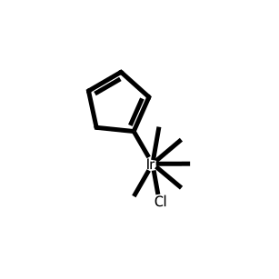 [CH3][Ir]([CH3])([CH3])([CH3])([CH3])([Cl])[C]1=CC=CC1